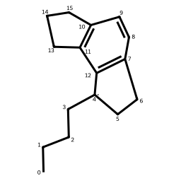 CCCC[C]1CCc2ccc3c(c21)CCC3